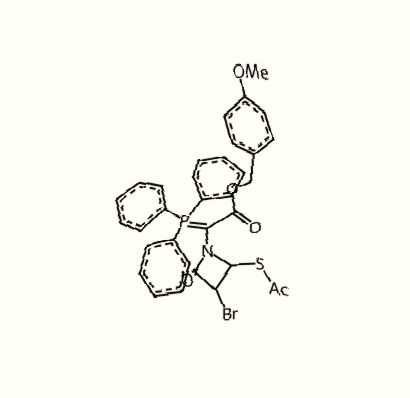 COc1ccc(COC(=O)C(N2C(=O)C(Br)C2SC(C)=O)=P(c2ccccc2)(c2ccccc2)c2ccccc2)cc1